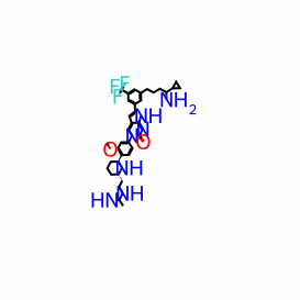 COc1cc(-n2cc3cc(-c4cc(CCCC(N)C5CC5)cc(C(F)(F)F)c4)[nH]c3nc2=O)ccc1[C@@H]1CCC[C@@H](CCNC(C)=N)N1